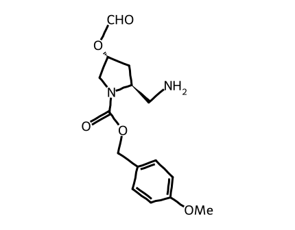 COc1ccc(COC(=O)N2C[C@H](OC=O)C[C@H]2CN)cc1